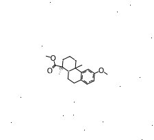 COC(=O)[C@@]1(C)CCCC2(C)c3cc(OC)ccc3CCC21